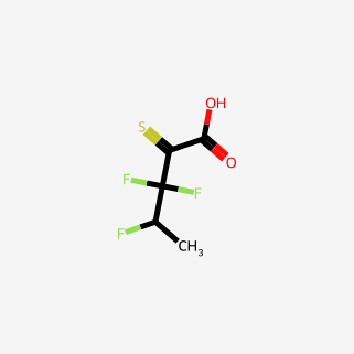 CC(F)C(F)(F)C(=S)C(=O)O